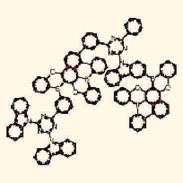 c1ccc(-c2nc(-c3cccc(-c4ccccc4-c4ccccc4B4c5ccccc5Oc5c4ccc4c5B(c5cccc(-c6nc(-n7c8ccccc8c8ccccc87)nc(-n7c8ccccc8c8ccccc87)n6)c5)c5ccccc5O4)c3)nc(-n3c4ccccc4c4cc(B5c6ccccc6Oc6ccc7c(c65)Oc5ccccc5B7c5ccccc5-c5ccccc5)ccc43)n2)cc1